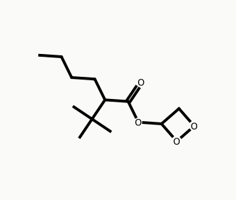 CCCCC(C(=O)OC1COO1)C(C)(C)C